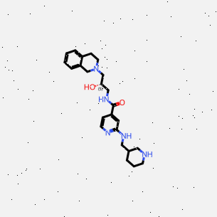 O=C(NC[C@H](O)CN1CCc2ccccc2C1)c1ccnc(NCC2CCCNC2)c1